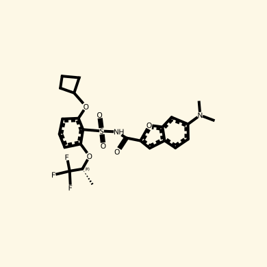 C[C@@H](Oc1cccc(OC2CCC2)c1S(=O)(=O)NC(=O)c1cc2ccc(N(C)C)cc2o1)C(F)(F)F